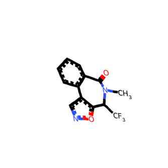 CN1C(=O)c2ccccc2-c2cnoc2C1C(F)(F)F